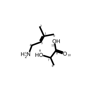 CC(C)=CCN.CC(O)C(=O)O